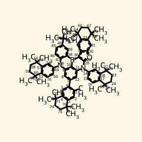 Cc1cc2c(cc1-c1cc3c4c(c1)N(c1ccc5c(c1)C(C)(C)CCC5(C)C)c1oc5cc6c(cc5c1B4c1cc(C(C)(C)C)ccc1N3c1ccc3c(c1)C(C)(C)CCC3(C)C)C(C)(C)CCC6(C)C)C(C)(C)CCC2(C)C